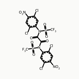 O=C(C(=O)N(c1cc(Cl)c([N+](=O)[O-])cc1Cl)S(=O)(=O)C(F)(F)F)N(c1cc(Cl)c([N+](=O)[O-])cc1Cl)S(=O)(=O)C(F)(F)F